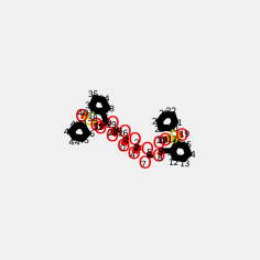 O=C(OC(=O)OC(=O)OC(=O)c1ccccc1S(=O)(=O)c1ccccc1)OC(=O)OC(=O)c1ccccc1S(=O)(=O)c1ccccc1